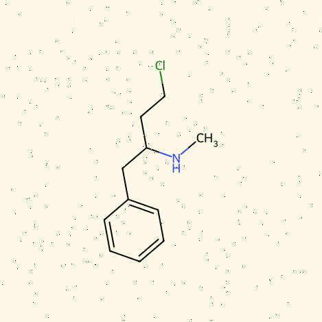 CNC(CCCl)Cc1ccccc1